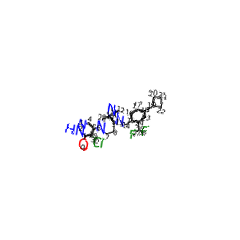 O=c1[nH]ncc(N2CCc3c(ncn3Cc3ccc(C4CCC4)cc3C(F)F)C2)c1Cl